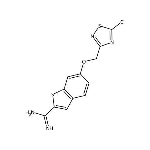 N=C(N)c1cc2ccc(OCc3nsc(Cl)n3)cc2s1